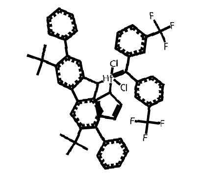 CC(C)(C)c1cc2c(cc1-c1ccccc1)[CH]([Hf]([Cl])([Cl])(=[C](c1cccc(C(F)(F)F)c1)c1cccc(C(F)(F)F)c1)[CH]1C=CC=C1)c1cc(-c3ccccc3)c(C(C)(C)C)cc1-2